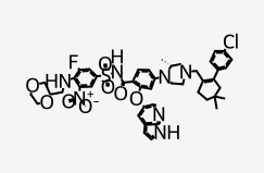 C[C@@H]1CN(CC2=C(c3ccc(Cl)cc3)CC(C)(C)CC2)CCN1c1ccc(C(=O)NS(=O)(=O)c2cc(F)c(NCC3COCCO3)c([N+](=O)[O-])c2)c(Oc2cnc3[nH]ccc3c2)c1